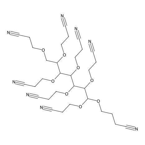 N#CCCCOC(OCCC#N)C(OCCC#N)C(OCCC#N)C(OCCC#N)C(OCCC#N)C(COCCC#N)OCCC#N